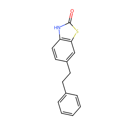 O=c1[nH]c2ccc(CCc3ccccc3)cc2s1